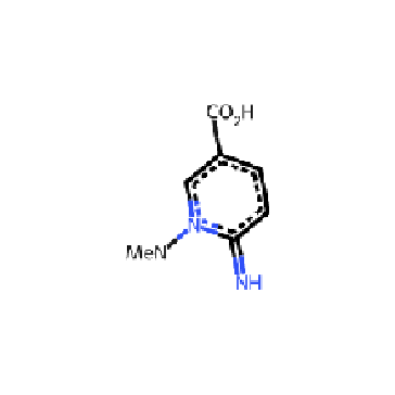 CNn1cc(C(=O)O)ccc1=N